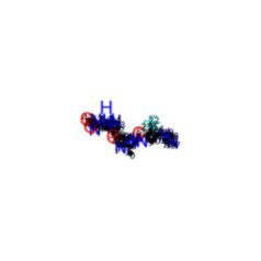 CC[C@H]1CN(C(=O)Nc2ccc(CN3CCN(C)CC3)c(C(F)(F)F)c2)Cc2cc(Oc3ccnc4[nH]c(-c5noc(=O)[nH]5)cc34)cnc21